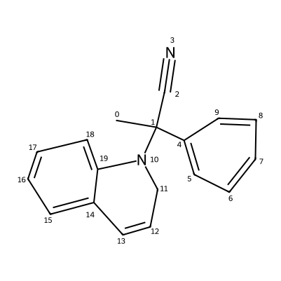 CC(C#N)(c1ccccc1)N1CC=Cc2ccccc21